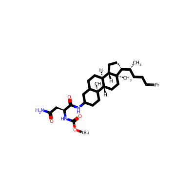 CC(C)CCC[C@@H](C)[C@H]1CC[C@H]2[C@@H]3CCC4CC(NC(=O)[C@H](CC(N)=O)NC(=O)OC(C)(C)C)CC[C@]4(C)[C@H]3CC[C@]12C